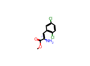 COC(=O)/C(N)=C/c1cc(Cl)ccc1Cl